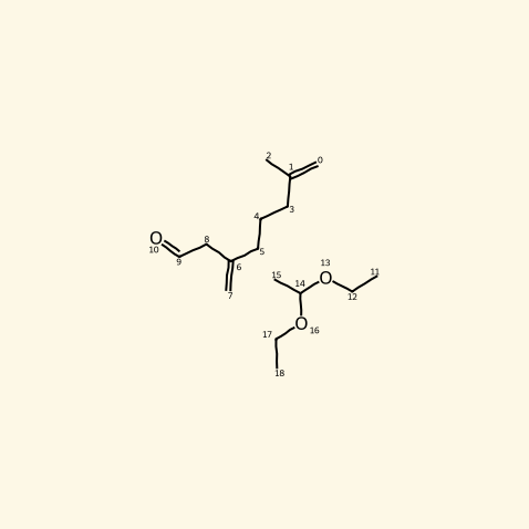 C=C(C)CCCC(=C)CC=O.CCOC(C)OCC